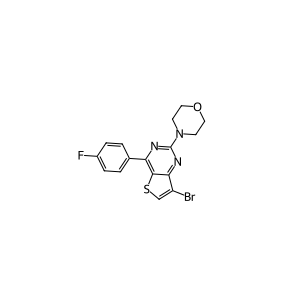 Fc1ccc(-c2nc(N3CCOCC3)nc3c(Br)csc23)cc1